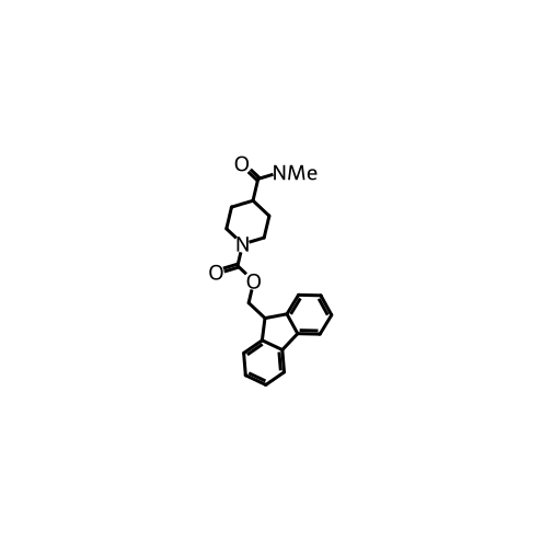 CNC(=O)C1CCN(C(=O)OCC2c3ccccc3-c3ccccc32)CC1